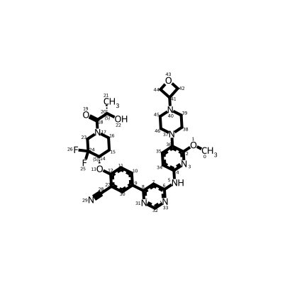 COc1nc(Nc2cc(-c3ccc(O[C@H]4CCN(C(=O)[C@H](C)O)CC4(F)F)c(C#N)c3)ncn2)ccc1N1CCN(C2COC2)CC1